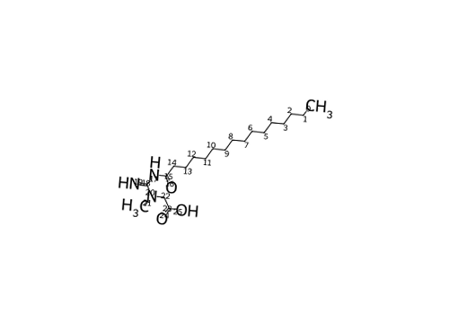 CCCCCCCCCCCCCCCC(=O)NC(=N)N(C)CC(=O)O